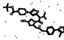 Cc1ncsc1-c1ccc(CNCC2C[C@@H](O)CN2C(=O)[C@@H](c2cc(N3CCN(C(=O)OC(C)(C)C)CC3)no2)C(C)C)cc1